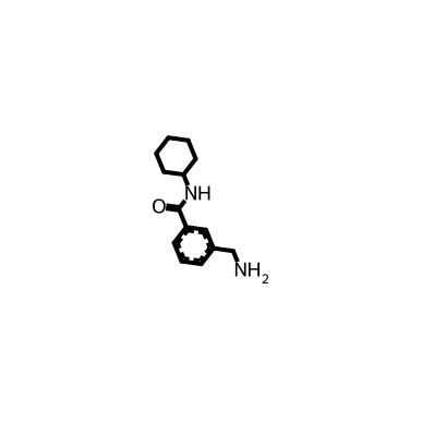 NCc1cccc(C(=O)NC2CCCCC2)c1